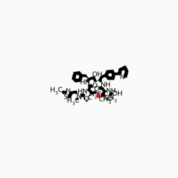 CCC(C)[C@H](NC(=O)N(C)Cc1csc(C)n1)C(=O)N[C@@H](Cc1ccccc1)[C@@H](O)C[C@H](Cc1ccc(-c2ccccn2)cc1)NC(=O)[C@@H](NC(=O)O)C(C)(C)C